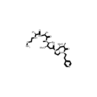 CC[C@H](C)[C@@H]([C@@H](CC(=O)N1CCC[C@H]1[C@H](OC)[C@@H](C)C(=O)NCCc1ccncc1)OC)N(C)C(=O)[C@@H](NC(=O)[C@@H](NCCON)C(C)C)C(C)C